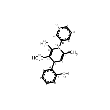 CC1=CC(c2ccccc2O)C(C(=O)O)=C(C)N1c1cccnc1